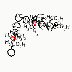 C1CCCCCCCCC1.C1CCCCCCCCC1.C1CCCCCCCCC1.C=C(C)C(=O)O.C=C(C)C(=O)O[C@H]1C[C@@H]2CC[C@@]1(C)C2(C)C.C=CC(=O)O[C@H]1C[C@@H]2CC[C@@]1(C)C2(C)C.O=C(O)/C=C/C1CCCCCCCCC1.O=C(O)/C=C/C1CCCCCCCCC1.O=C(O)/C=C/C1CCCCCCCCC1